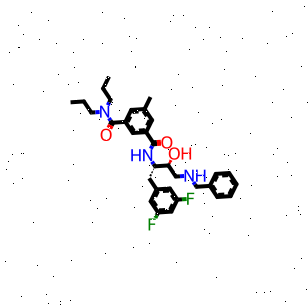 CCCN(CCC)C(=O)c1cc(C)cc(C(=O)N[C@@H](Cc2cc(F)cc(F)c2)[C@@H](O)CNCc2ccccc2)c1